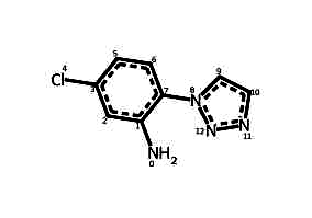 Nc1cc(Cl)ccc1-n1ccnn1